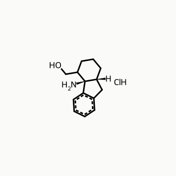 Cl.N[C@]12c3ccccc3C[C@H]1CCCC2CO